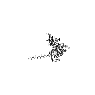 CCCCCCCCCCCCCCCC(=O)NCC(=O)N[C@@H](CCC(=O)O)C(=O)N[C@H](C(=O)N[C@@H](CCC(N)=O)[C@H](O)N[C@@H](Cc1c[nH]cn1)[C@H](O)N[C@@H](CO)C(=O)N[C@@H](CCCC)C(=O)NC)[C@H](C)O